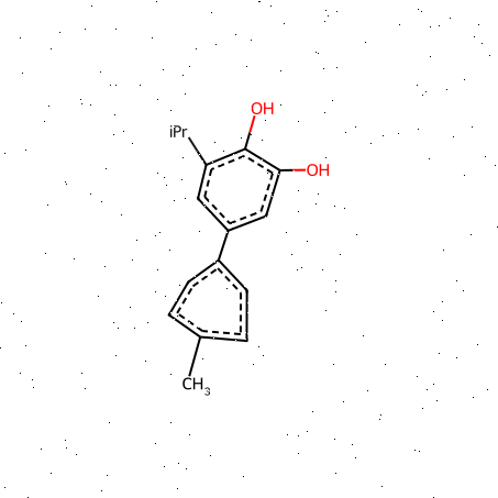 Cc1ccc(-c2cc(O)c(O)c(C(C)C)c2)cc1